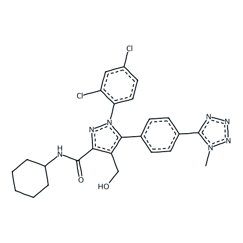 Cn1nnnc1-c1ccc(-c2c(CO)c(C(=O)NC3CCCCC3)nn2-c2ccc(Cl)cc2Cl)cc1